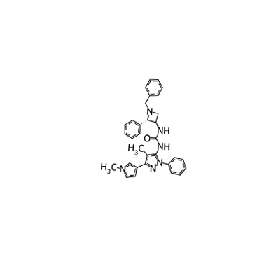 Cc1c(-c2ccn(C)c2)nn(-c2ccccc2)c1NC(=O)N[C@@H]1CN(Cc2ccccc2)[C@H]1c1ccccc1